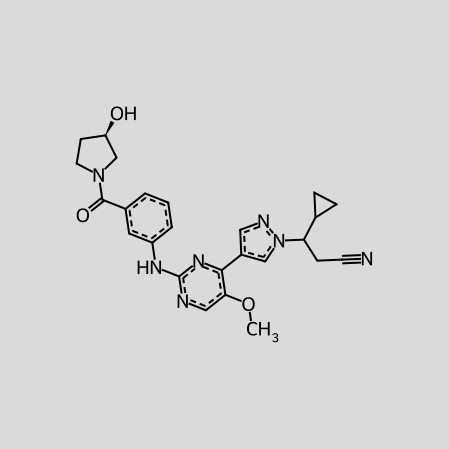 COc1cnc(Nc2cccc(C(=O)N3CC[C@@H](O)C3)c2)nc1-c1cnn(C(CC#N)C2CC2)c1